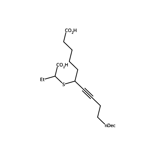 CCCCCCCCCCCCC#CC(CCCCC(=O)O)SC(CC)C(=O)O